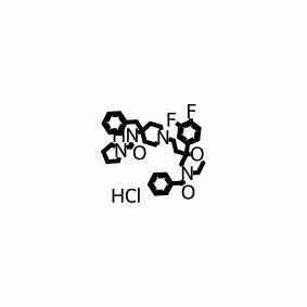 Cl.O=C(NC1(Cc2ccccc2)CCN(CCC2(c3ccc(F)c(F)c3)CN(C(=O)c3ccccc3)CCO2)CC1)N1CCCC1